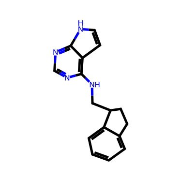 c1ccc2c(c1)CCC2CNc1ncnc2[nH]ccc12